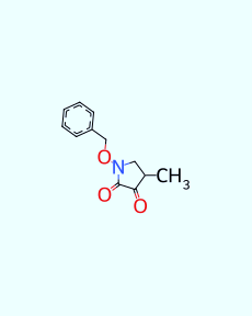 CC1CN(OCc2ccccc2)C(=O)C1=O